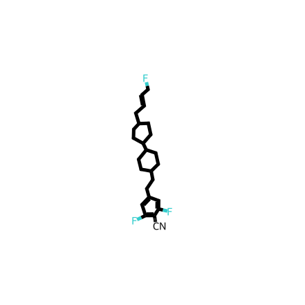 N#Cc1c(F)cc(CCC2CCC(C3CCC(C/C=C/CF)CC3)CC2)cc1F